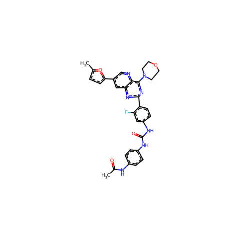 CC(=O)Nc1ccc(NC(=O)Nc2ccc(-c3nc(N4CCOCC4)c4ncc(-c5ccc(C)o5)cc4n3)c(F)c2)cc1